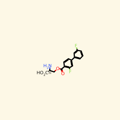 N[C@@H](COC(=O)c1ccc(-c2cccc(F)c2)cc1F)C(=O)O